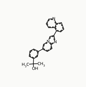 CC(C)(O)c1cccc(-c2ccc3nc(-c4cccc5ncccc45)cn3c2)c1